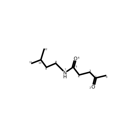 CC(=O)CCC(=O)NCCC(C)C